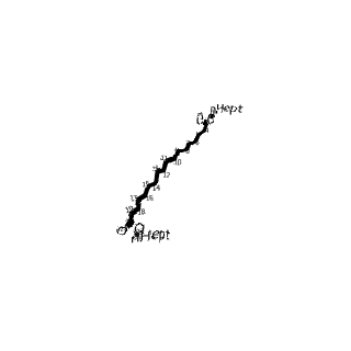 CCCCCCCOC(=O)CCCCCCCCCCCCCCCCC(=O)OCCCCCCC